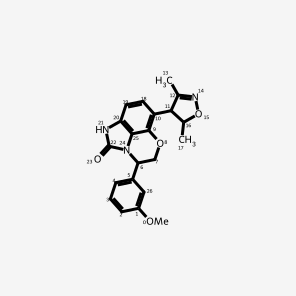 COc1cccc(C2COc3c(C4C(C)=NOC4C)ccc4[nH]c(=O)n2c34)c1